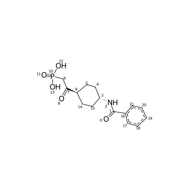 O=C(N[C@H]1CC[C@H](C(=O)CP(=O)(O)O)CC1)c1ccccc1